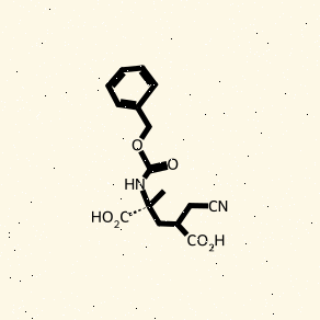 C[C@@](CC(CC#N)C(=O)O)(NC(=O)OCc1ccccc1)C(=O)O